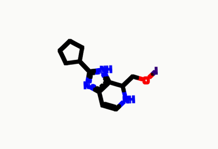 IOCC1NC=Cc2nc(C3CCCC3)[nH]c21